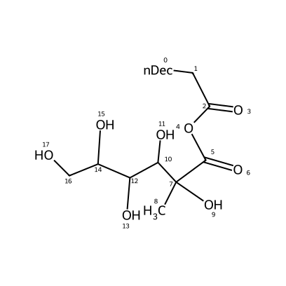 CCCCCCCCCCCC(=O)OC(=O)C(C)(O)C(O)C(O)C(O)CO